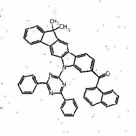 CC1(C)c2ccccc2-c2cc3c(cc21)c1ccc(C(=O)c2cccc4ccccc24)cc1n3-c1nc(-c2ccccc2)nc(-c2ccccc2)n1